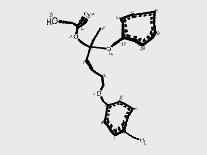 CC(CCOc1ccc(Cl)cc1)(OC(=O)O)Oc1ccccc1